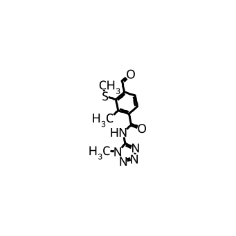 CSc1c(C=O)ccc(C(=O)Nc2nnnn2C)c1C